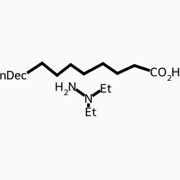 CCCCCCCCCCCCCCCCCC(=O)O.CCN(N)CC